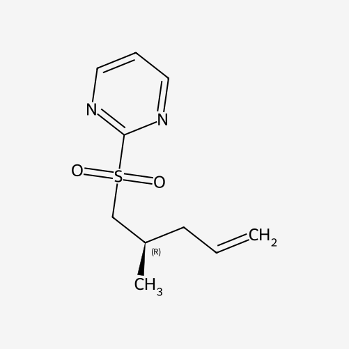 C=CC[C@@H](C)CS(=O)(=O)c1ncccn1